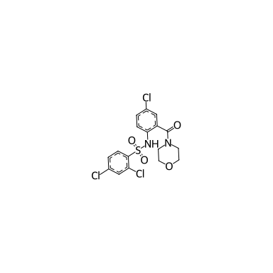 O=C(c1cc(Cl)ccc1NS(=O)(=O)c1ccc(Cl)cc1Cl)N1CCOCC1